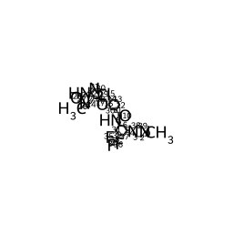 CN1CCN(c2cc(NC(=O)c3ccc(Cl)c(Oc4ccnc5c4CN(C)C(=O)N5)c3)cc(C(F)(F)F)c2)CC1